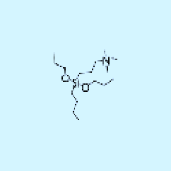 CCCC[Si](CCC[N+](C)(C)C)(OCCC)OCCC